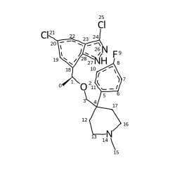 C[C@H](OCC1(c2ccc(F)cc2)CCN(C)CC1)c1cc(Cl)cc2c(Cl)n[nH]c12